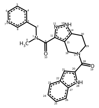 CN(Cc1cccnc1)C(=O)c1n[nH]c2c1CN(C(=O)c1cc3ccccc3[nH]1)CC2